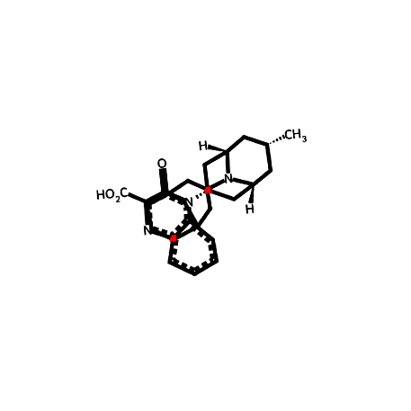 C[C@@H]1C[C@@H]2C[C@H](n3c(=O)c(C(=O)O)nc4ccccc43)C[C@H](C1)N2C1CC2CCCC(C2)C1